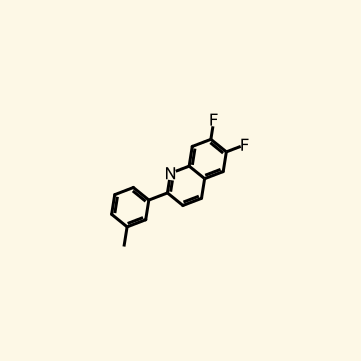 Cc1cccc(-c2ccc3cc(F)c(F)cc3n2)c1